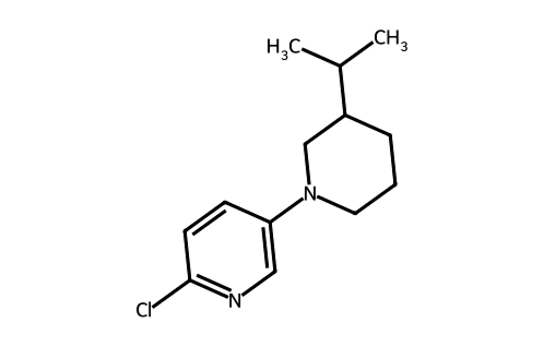 CC(C)C1CCCN(c2ccc(Cl)nc2)C1